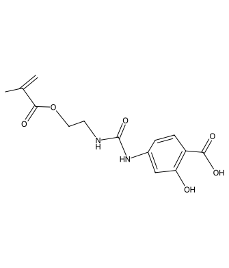 C=C(C)C(=O)OCCNC(=O)Nc1ccc(C(=O)O)c(O)c1